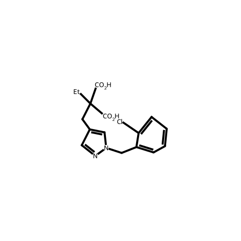 CCC(Cc1cnn(Cc2ccccc2Cl)c1)(C(=O)O)C(=O)O